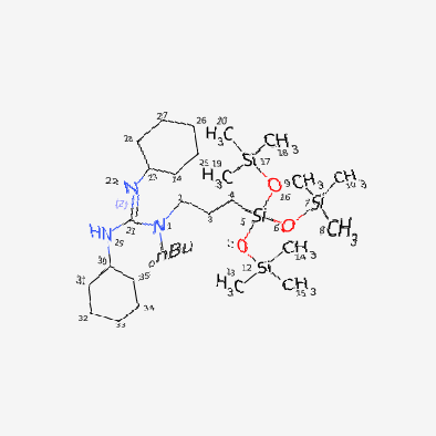 CCCCN(CCC[Si](O[Si](C)(C)C)(O[Si](C)(C)C)O[Si](C)(C)C)/C(=N\C1CCCCC1)NC1CCCCC1